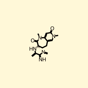 C=NC(=N)C(=C)N[C@H]1CCc2cn(C)c(=O)cc2N(C)C1=O